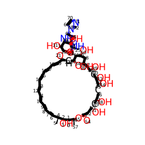 C[C@@H]1[C@H](O)[C@@H](C)/C=C/C=C/C=C/C=C/C=C/C=C/C=C/[C@H](O[C@@H]2O[C@H](C)[C@@H](O)[C@H](N)[C@@H]2O)C[C@@H]2O[C@](O)(C[C@@H](O)C[C@@H](O)[C@H](O)CC[C@@H](O)C[C@@H](O)CC(=O)O[C@H]1C)C[C@H](O)[C@H]2C(=O)NCCCn1ccnc1